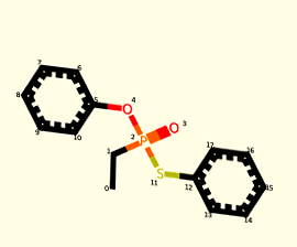 CCP(=O)(Oc1ccccc1)Sc1ccccc1